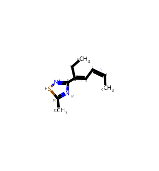 C/C=C\C=C(/CC)c1nsc(C)n1